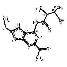 CSc1nc2nc(C(N)=O)nc(NC(=O)C(N)C(C)O)c2[nH]1